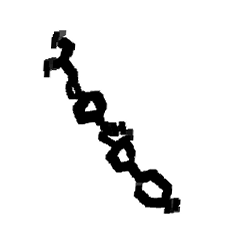 CC[C@H]1CC[C@H]([C@H]2CC[C@H](C[SiH2]c3ccc(OCC(F)CF)cc3)CC2)CC1